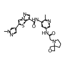 Cc1ncc(NC(=O)CN2CCCC23COC3)cc1NC(=O)c1cnn2cc(-c3cnn(C)c3)sc12